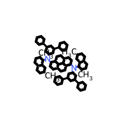 Cc1ccc2ccc(C)c(N(c3cc(-c4ccccc4)cc(-c4ccccc4)c3)c3ccc4ccc5c(N(c6cc(-c7ccccc7)cc(-c7ccccc7)c6)c6c(C)ccc7ccc(C)cc67)ccc6ccc3c4c65)c2c1